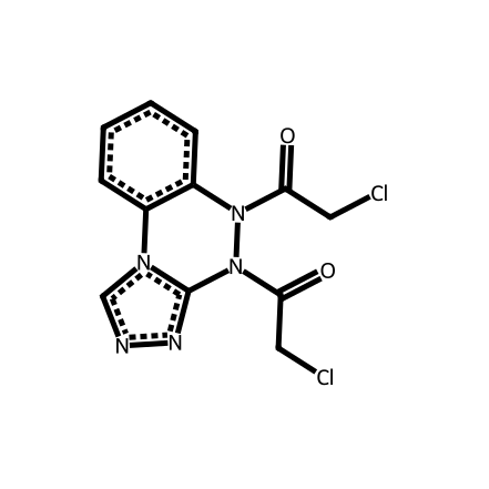 O=C(CCl)N1c2ccccc2-n2cnnc2N1C(=O)CCl